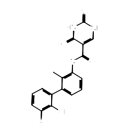 Cc1c(NC(=O)c2c[nH]c(=O)[nH]c2=O)cccc1-c1cccc(Br)c1Cl